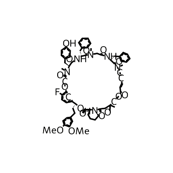 COc1ccc(CC[C@H]2OC(=O)[C@@H]3CCCCN3C(=O)C(=O)C(C)(C)COC(=O)/C=C/CCN(C)C(=O)[C@@H](Cc3ccccc3)NC(=O)CN(C)C(=O)[C@@H](Cc3ccccc3)NC(=O)[C@H](Cc3ccc(O)cc3)N(C)C(=O)COc3cc2ccc3F)cc1OC